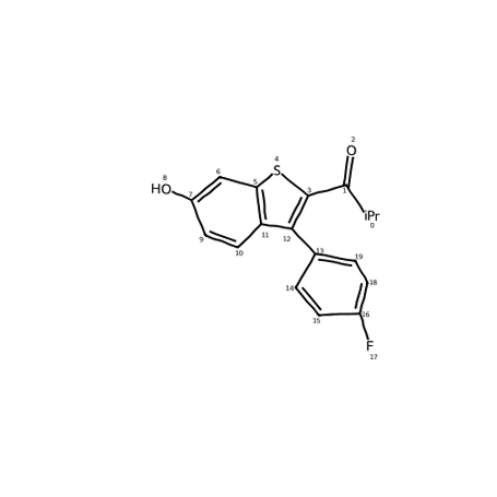 CC(C)C(=O)c1sc2cc(O)ccc2c1-c1ccc(F)cc1